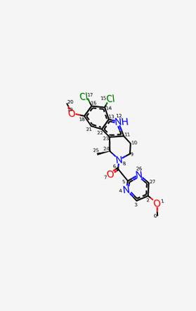 COc1cnc(C(=O)N2CCc3[nH]c4c(Cl)c(Cl)c(OC)cc4c3[C@@H]2C)nc1